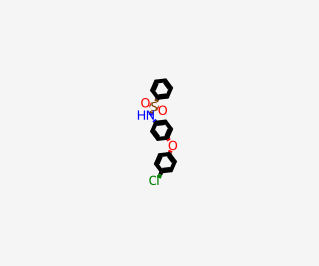 O=S(=O)(Nc1ccc(Oc2ccc(Cl)cc2)cc1)c1ccccc1